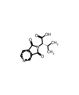 CC(C)[C@@H](C(=O)O)N1C(=O)c2ccncc2C1=O